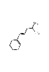 CC(C)CC=CC1=[C]CCCC1